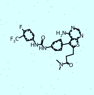 CN(C)C(=O)CCc1sc2ncnc(N)c2c1-c1ccc(NC(=O)Nc2ccc(F)c(C(F)(F)F)c2)cc1